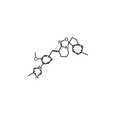 COc1cc(/C=C2\CCCN3C2=NOC32CCc3cc(C)ccc32)ccc1-n1cnc(C)c1